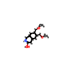 COCc1cc2cnc(O)cc2cc1COC